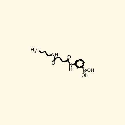 CCCCNC(=O)CCC(=O)Nc1cccc(B(O)O)c1